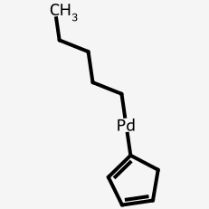 CCCC[CH2][Pd][C]1=CC=CC1